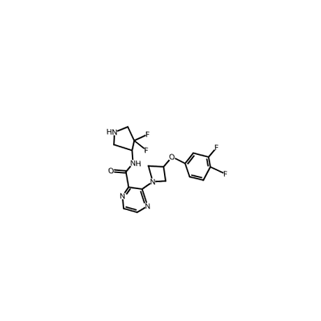 O=C(NC1CNCC1(F)F)c1nccnc1N1CC(Oc2ccc(F)c(F)c2)C1